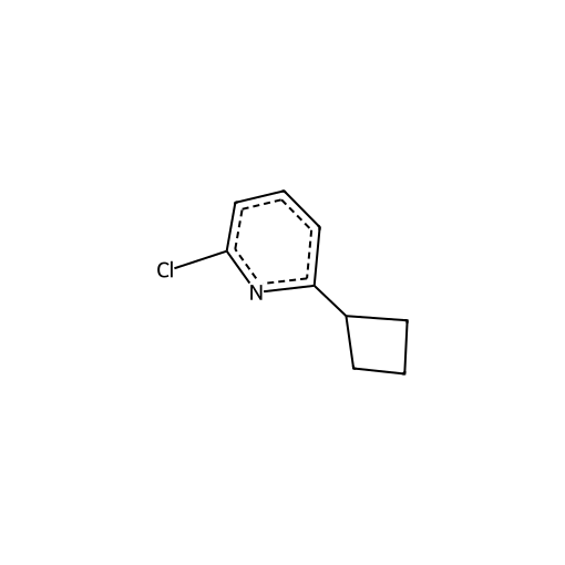 Clc1cccc(C2CCC2)n1